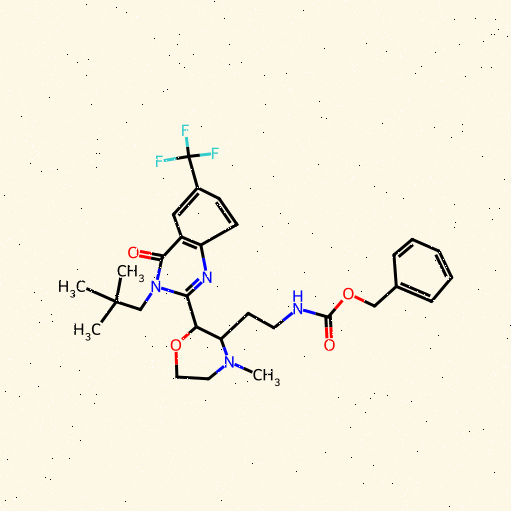 CN1CCOC(c2nc3ccc(C(F)(F)F)cc3c(=O)n2CC(C)(C)C)C1CCNC(=O)OCc1ccccc1